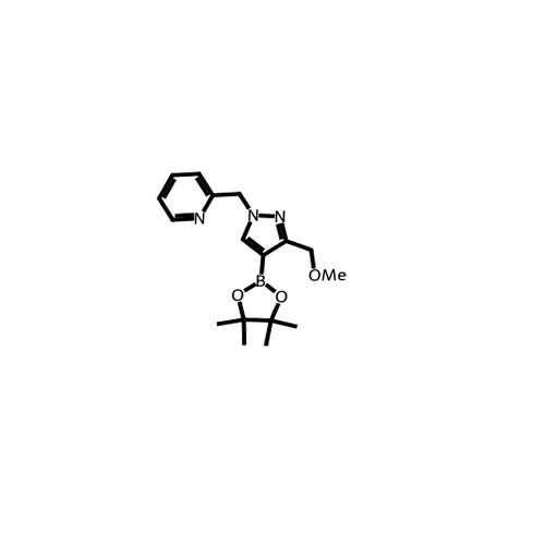 COCc1nn(Cc2ccccn2)cc1B1OC(C)(C)C(C)(C)O1